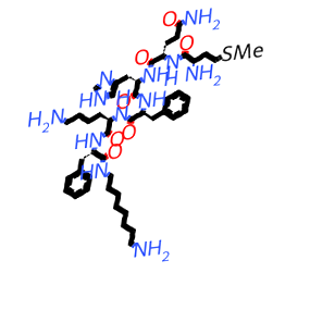 CSCC[C@H](N)C(=O)N[C@@H](CCC(N)=O)C(=O)N[C@@H](Cc1c[nH]cn1)C(=O)N[C@@H](Cc1ccccc1)C(=O)N[C@H](CCCCN)C(=O)N[C@@H](Cc1ccccc1)C(=O)NCCCCCCCCN